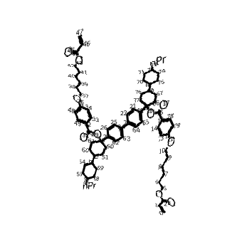 C=CC(=O)OCCCCCCOc1ccc(C(=O)OC2(c3ccc(-c4ccc(C5(OC(=O)c6ccc(OCCCCCCOC(=O)C=C)cc6)CCC(C6CCC(CCC)CC6)CC5)cc4)cc3)CCC(C3CCC(CCC)CC3)CC2)cc1